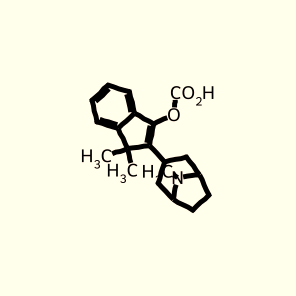 CN1C2CCC1CC(C1=C(OC(=O)O)c3ccccc3C1(C)C)C2